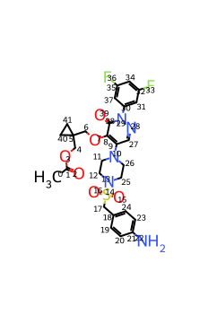 CC(=O)OCC1(COc2c(N3CCN(S(=O)(=O)Cc4ccc(N)cc4)CC3)cnn(-c3cc(F)cc(F)c3)c2=O)CC1